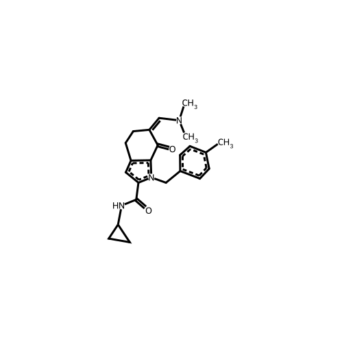 Cc1ccc(Cn2c(C(=O)NC3CC3)cc3c2C(=O)C(=CN(C)C)CC3)cc1